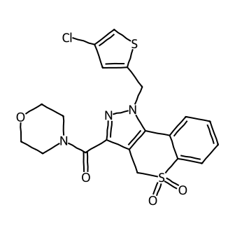 O=C(c1nn(Cc2cc(Cl)cs2)c2c1CS(=O)(=O)c1ccccc1-2)N1CCOCC1